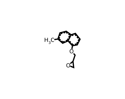 Cc1ccc2cccc(OCC3CO3)c2c1